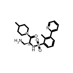 Cc1c(-c2ccccn2)cccc1S(=O)(=O)N[C@@H](CN)C(=O)N1CCC(C)CC1